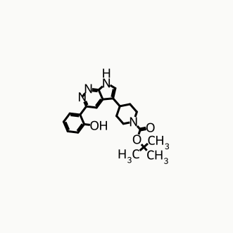 CC(C)(C)OC(=O)N1CCC(c2c[nH]c3nnc(-c4ccccc4O)cc23)CC1